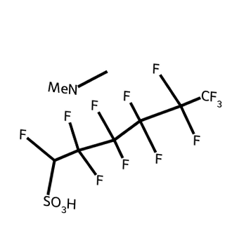 CNC.O=S(=O)(O)C(F)C(F)(F)C(F)(F)C(F)(F)C(F)(F)C(F)(F)F